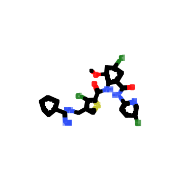 COc1cc(Cl)cc(C(=O)Nc2ccc(Cl)cn2)c1NC(=O)c1scc(CNC(=N)c2ccccc2)c1Cl